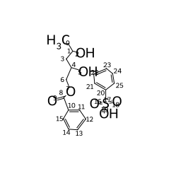 CC(O)CC(O)COC(=O)c1ccccc1.O=S(=O)(O)c1ccccc1